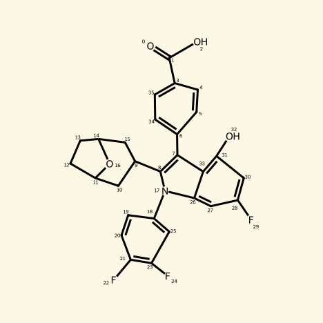 O=C(O)c1ccc(-c2c(C3CC4CCC(C3)O4)n(-c3ccc(F)c(F)c3)c3cc(F)cc(O)c23)cc1